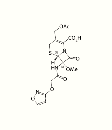 CO[C@@]1(NC(=O)COc2ccon2)C(=O)N2C(C(=O)O)=C(COC(C)=O)CS[C@H]21